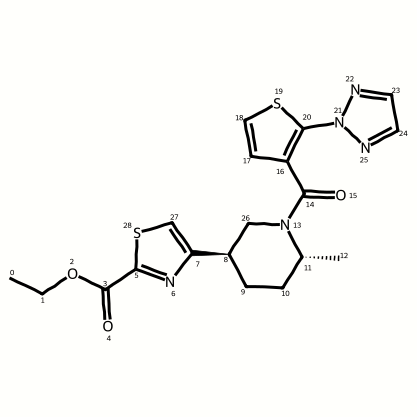 CCOC(=O)c1nc([C@@H]2CC[C@@H](C)N(C(=O)c3ccsc3-n3nccn3)C2)cs1